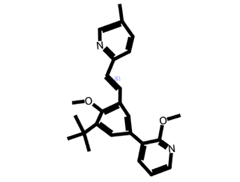 COc1ncccc1-c1cc(/C=C/c2ccc(C)cn2)c(OC)c(C(C)(C)C)c1